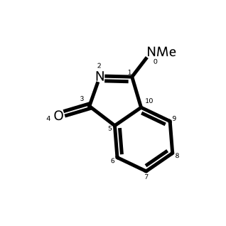 CNC1=NC(=O)c2ccccc21